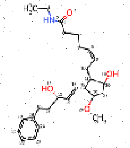 CCNC(=O)CCC/C=C\C[C@@H]1[C@@H](/C=C/[C@@H](O)CCc2ccccc2)[C@H](OC)C[C@@H]1O